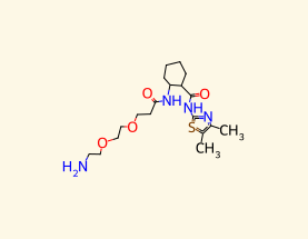 Cc1nc(NC(=O)C2CCCCC2NC(=O)CCOCCOCCN)sc1C